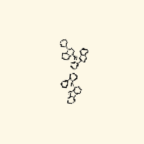 c1ccc(-c2ccc(-n3c4ccc(-c5ccc6c(c5)c5ccccc5n6-c5cccc6c5sc5ccccc56)cc4c4ccc5ccccc5c43)c3ccccc23)cc1